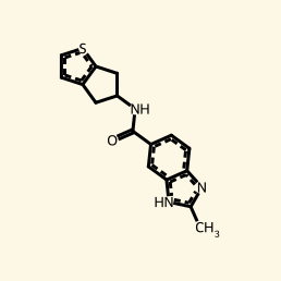 Cc1nc2ccc(C(=O)NC3Cc4ccsc4C3)cc2[nH]1